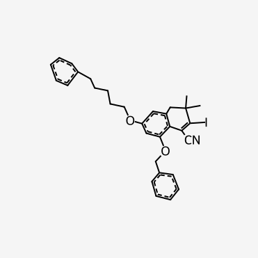 CC1(C)Cc2cc(OCCCCCc3ccccc3)cc(OCc3ccccc3)c2C(C#N)=C1I